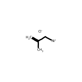 C=C(C)[CH2][Ni+].[Cl-]